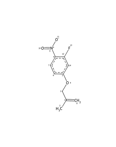 C=C(C)COc1ccc([N+](=O)[O-])c(F)c1